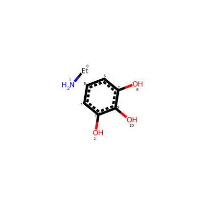 CCN.Oc1cccc(O)c1O